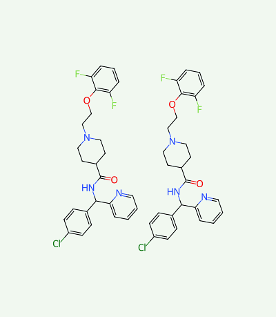 O=C(NC(c1ccc(Cl)cc1)c1ccccn1)C1CCN(CCOc2c(F)cccc2F)CC1.O=C(NC(c1ccc(Cl)cc1)c1ccccn1)C1CCN(CCOc2c(F)cccc2F)CC1